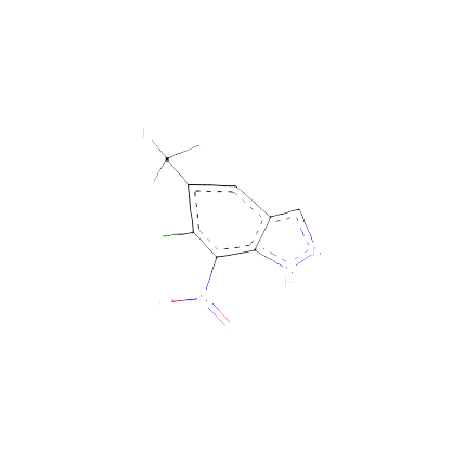 O=[N+]([O-])c1c(F)c(C(F)(F)F)cc2cn[nH]c12